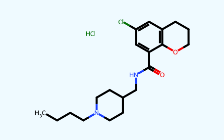 CCCCN1CCC(CNC(=O)c2cc(Cl)cc3c2OCCC3)CC1.Cl